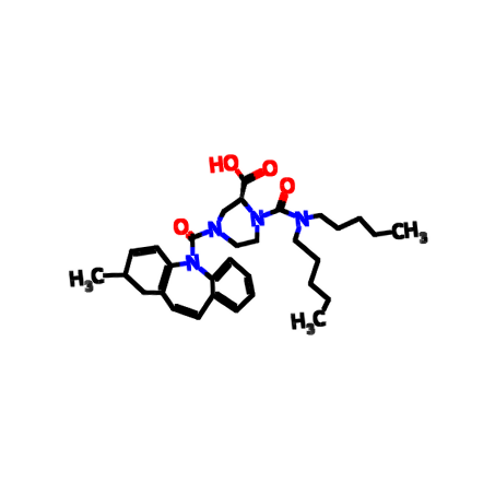 CCCCCN(CCCCC)C(=O)N1CCN(C(=O)N2C3=C(C=Cc4ccccc42)CC(C)C=C3)C[C@H]1C(=O)O